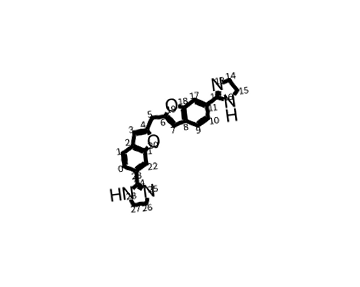 c1cc2cc(Cc3cc4ccc(C5=NCCN5)cc4o3)oc2cc1C1=NCCN1